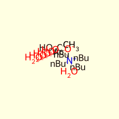 CC(=O)O.CC(=O)[O-].CCCC[N+](CCCC)(CCCC)CCCC.O.O.O.O.O.O